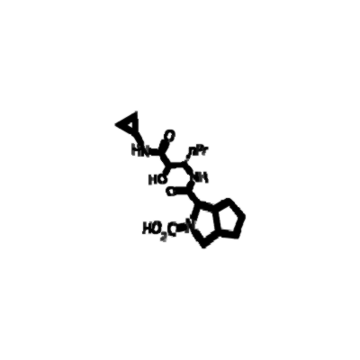 CCC[C@H](NC(=O)C1C2CCCC2CN1C(=O)O)C(O)C(=O)NC1CC1